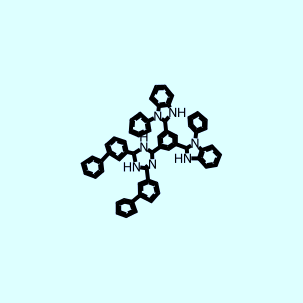 c1ccc(-c2cccc(C3=NC(c4cc(C5Nc6ccccc6N5c5ccccc5)cc(C5Nc6ccccc6N5c5ccccc5)c4)NC(c4cccc(-c5ccccc5)c4)N3)c2)cc1